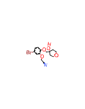 N#CCOc1cc(Br)ccc1OCC1(O)CCOCC1